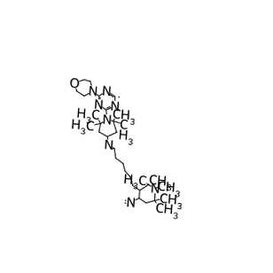 CN1C(C)(C)CC([N])C(CCCCCC=NC2CC(C)(C)N(c3n[c]nc(N4CCOCC4)n3)C(C)(C)C2)C1(C)C